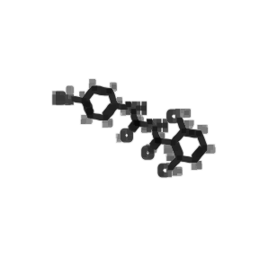 CCC(C)c1ccc(NC(=O)NC(=O)c2c(Cl)cccc2Cl)cc1